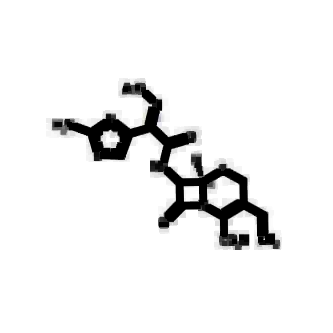 C=CC1=C(C(=O)O)N2C(=O)C(NC(=O)/C(=N/OC(C)=O)c3csc(N)n3)[C@H]2SC1